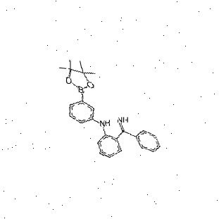 CC1(C)OB(c2cccc(Nc3ccccc3C(=N)c3ccccc3)c2)OC1(C)C